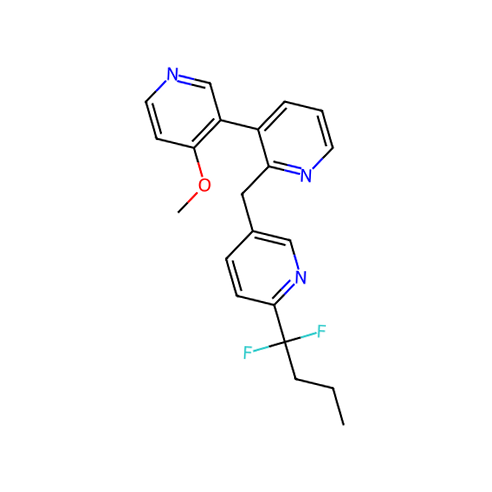 CCCC(F)(F)c1ccc(Cc2ncccc2-c2cnccc2OC)cn1